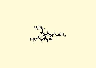 C=CCc1ccc(CCC)c(CCC)c1